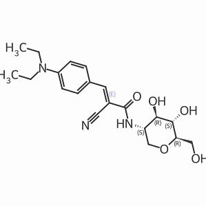 CCN(CC)c1ccc(/C=C(\C#N)C(=O)N[C@H]2CO[C@H](CO)[C@@H](O)[C@@H]2O)cc1